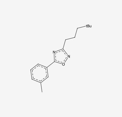 Cc1cccc(-c2nc(CCCC(C)(C)C)no2)c1